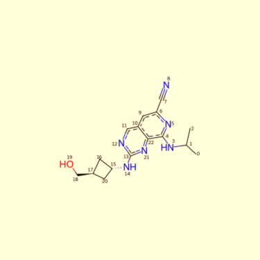 CC(C)Nc1nc(C#N)cc2cnc(N[C@H]3C[C@H](CO)C3)nc12